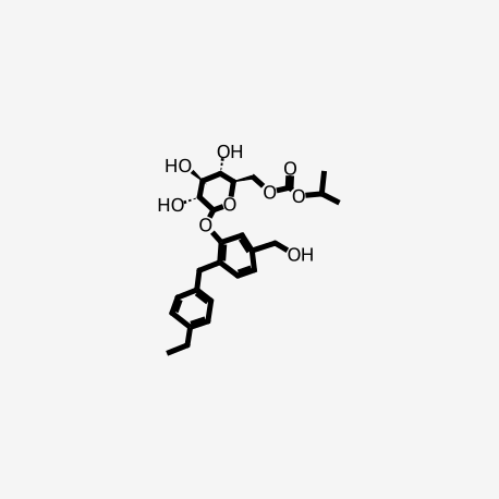 CCc1ccc(Cc2ccc(CO)cc2OC2O[C@H](COC(=O)OC(C)C)[C@@H](O)[C@H](O)[C@H]2O)cc1